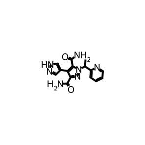 CC(c1ccccn1)n1nc(C(N)=O)c(-c2cn[nH]c2)c1C(N)=O